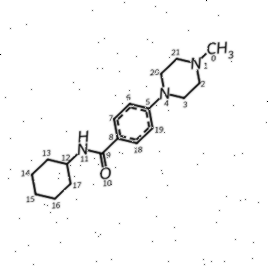 CN1CCN(c2ccc(C(=O)NC3CCCCC3)cc2)CC1